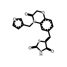 O=C1NC(=O)C(=Cc2ccc3c(c2)N(Cc2ccoc2)C(=O)CO3)S1